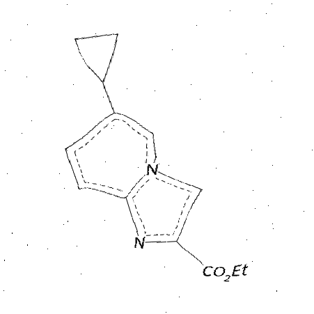 CCOC(=O)c1cn2cc(C3CC3)ccc2n1